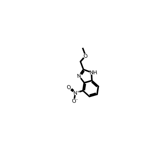 COCc1nc2c([N+](=O)[O-])cccc2[nH]1